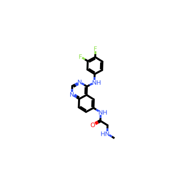 CNCC(=O)Nc1ccc2ncnc(Nc3ccc(F)c(F)c3)c2c1